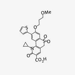 COCCCOc1cc2c(cc1-c1cccs1)-c1c(cc(C(=O)O)c(=O)n1C1CC1)CS2(=O)=O